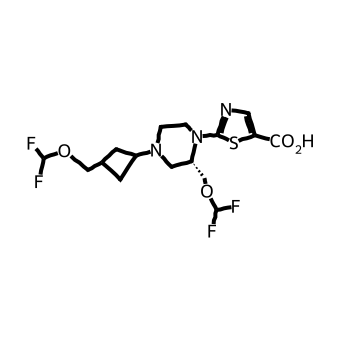 O=C(O)c1cnc(N2CCN(C3CC(COC(F)F)C3)C[C@H]2COC(F)F)s1